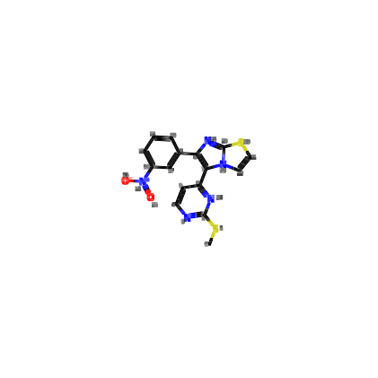 CSc1nccc(-c2c(-c3cccc([N+](=O)[O-])c3)nc3sccn23)n1